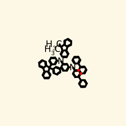 CC1(C)c2ccccc2-c2ccc(N(c3cccc(N(c4ccc(-c5ccccc5)cc4)c4ccccc4-c4ccccc4)c3)c3cccc(C4(c5ccccc5)c5ccccc5-c5ccccc54)c3)cc21